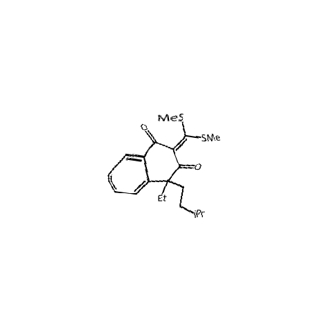 CCC1(CCC(C)C)C(=O)C(=C(SC)SC)C(=O)c2ccccc21